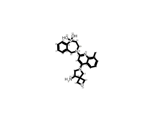 Cc1cccc2c(N3CC(N)C4(COC4)C3)cc(N3CCS(O)(O)c4ccccc4C3)nc12